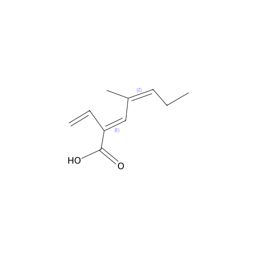 C=C/C(=C\C(C)=C/CC)C(=O)O